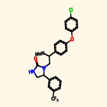 CNC(CN1C(=O)NCC1c1cccc(C(F)(F)F)c1)c1ccc(Oc2ccc(Cl)cc2)cc1